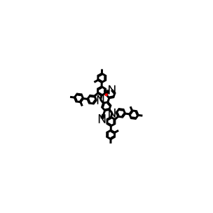 Cc1ccc(-c2ccc3c(c2)c2cc(-c4ccc(C)cc4C)ccc2n3-c2cc(-c3ccncc3)c(-n3c4ccc(-c5ccc(C)cc5C)cc4c4cc(-c5ccc(C)cc5C)ccc43)cc2C#N)c(C)c1